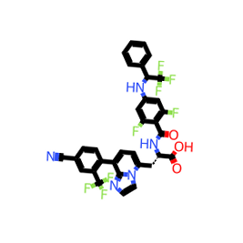 N#Cc1ccc(-c2ccc(C[C@H](NC(=O)c3c(F)cc(NC(c4ccccc4)C(F)(F)F)cc3F)C(=O)O)n3ccnc23)c(C(F)(F)F)c1